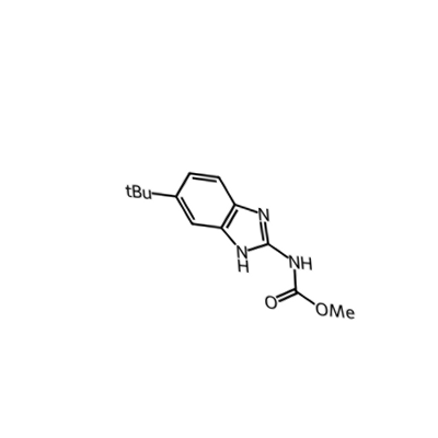 COC(=O)Nc1nc2ccc(C(C)(C)C)cc2[nH]1